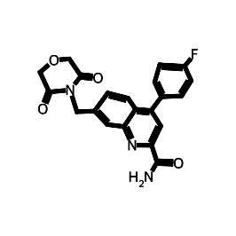 NC(=O)c1cc(-c2ccc(F)cc2)c2ccc(CN3C(=O)COCC3=O)cc2n1